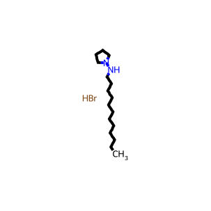 Br.CCCCCCCCCCCCNN1CCCC1